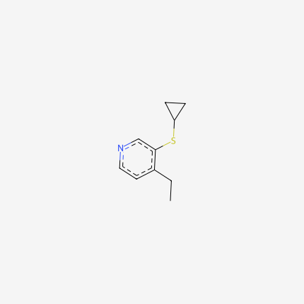 CCc1ccncc1SC1CC1